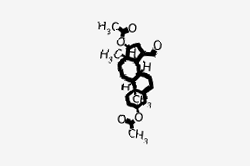 CC(=O)O[C@H]1CC[C@@]2(C)C(=CC[C@H]3[C@@H]4C(C=O)C[C@H](OC(C)=O)[C@@]4(C)CC[C@@H]32)C1